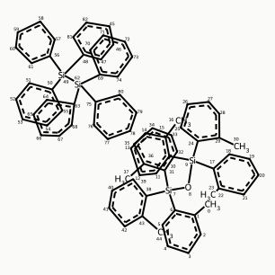 Cc1ccccc1[Si](O[Si](c1ccccc1C)(c1ccccc1C)c1ccccc1C)(c1ccccc1C)c1ccccc1C.c1ccc([Si](c2ccccc2)(c2ccccc2)[Si](c2ccccc2)(c2ccccc2)c2ccccc2)cc1